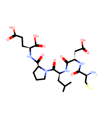 CC(C)C[C@H](NC(=O)[C@H](CC(=O)O)NC(=O)[C@@H](N)CS)C(=O)N1CCC[C@H]1C(=O)N[C@@H](CCC(=O)O)C(=O)O